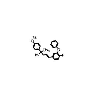 CCOc1ccc(C(C)(CC=Cc2ccc(F)c(Oc3ccccc3)c2)C(C)=O)cc1